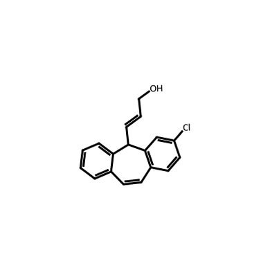 OCC=CC1c2ccccc2C=Cc2ccc(Cl)cc21